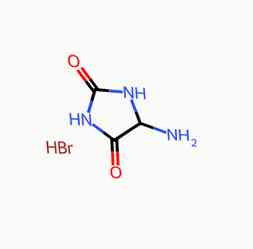 Br.NC1NC(=O)NC1=O